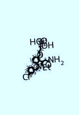 CCc1c(CC(N)=O)c2c(OCCCP(=O)(O)O)cccc2n1Cc1cccc(Cl)c1